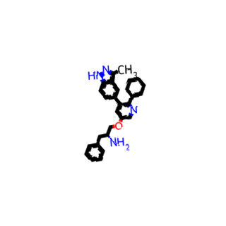 Cc1n[nH]c2ccc(-c3cc(OC[C@@H](N)Cc4ccccc4)cnc3C3=CCCCC3)cc12